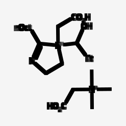 CCCCCCCCC1=NCC[N+]1(CC(=O)O)C(O)CC.C[N+](C)(C)CC(=O)O